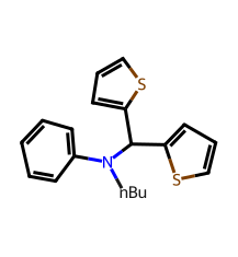 CCCCN(c1ccccc1)C(c1cccs1)c1cccs1